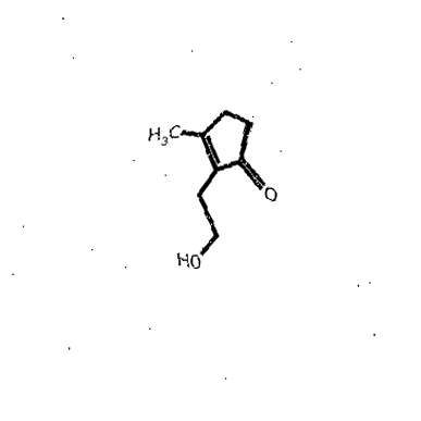 CC1=C(CCO)C(=O)CC1